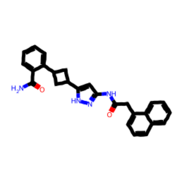 NC(=O)c1ccccc1C1CC(c2cc(NC(=O)Cc3cccc4ccccc34)n[nH]2)C1